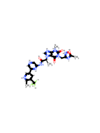 Cc1nc(Cn2c(=O)c3c(ncn3[C@@H](C)C(=O)Nc3cncc(-c4cnc(C)c(C(F)(F)F)c4)n3)n(C)c2=O)no1